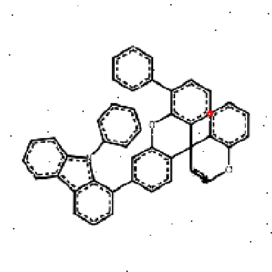 c1ccc(-c2cccc3c2Oc2cc(-c4cccc5c6ccccc6n(-c6ccccc6)c45)ccc2C32c3ccccc3Oc3ccccc32)cc1